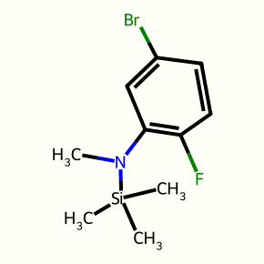 CN(c1cc(Br)ccc1F)[Si](C)(C)C